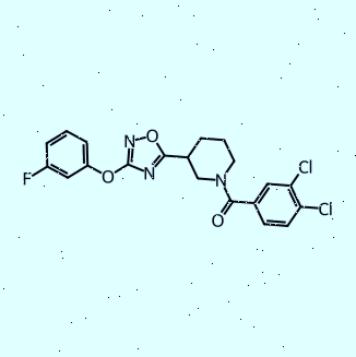 O=C(c1ccc(Cl)c(Cl)c1)N1CCCC(c2nc(Oc3cccc(F)c3)no2)C1